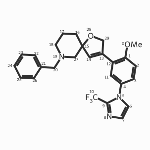 COc1ccc(-n2ccnc2C(F)(F)F)cc1C1=CC2(CCCN(Cc3ccccc3)C2)OC1